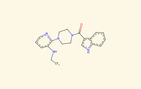 O=C(c1c[nH]c2ccccc12)N1CCN(c2ncccc2NCC(F)(F)F)CC1